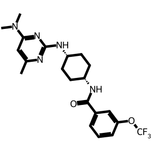 Cc1cc(N(C)C)nc(N[C@H]2CC[C@@H](NC(=O)c3cccc(OC(F)(F)F)c3)CC2)n1